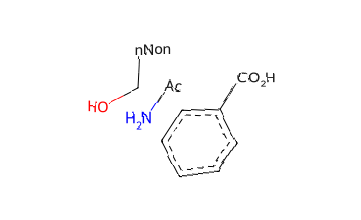 CC(N)=O.CCCCCCCCCCO.O=C(O)c1ccccc1